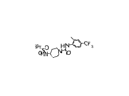 Cc1cc(C(F)(F)F)ccc1NC(=O)N1CCC(NS(=O)(=O)C(C)C)CC1